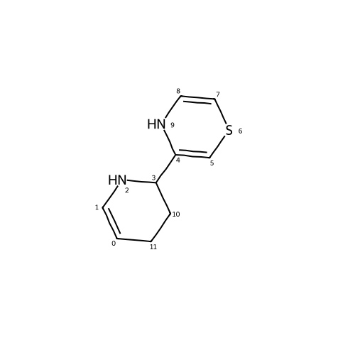 C1=CNC(C2=CSC=CN2)CC1